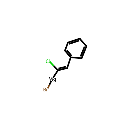 Cl[C](=Cc1ccccc1)[Mg][Br]